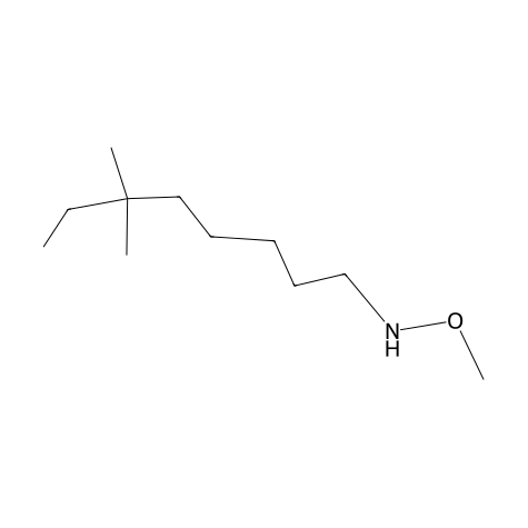 CCC(C)(C)CCCCCNOC